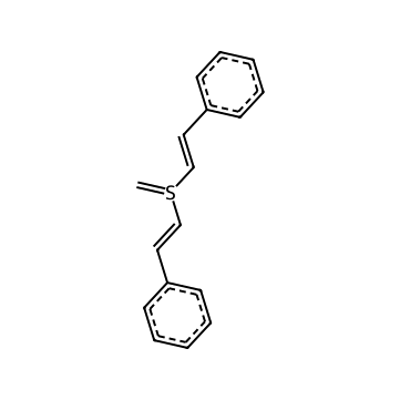 C=S(/C=C/c1ccccc1)/C=C/c1ccccc1